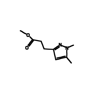 COC(=O)CCc1cc(C)n(C)n1